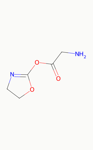 NCC(=O)OC1=NCCO1